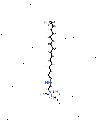 C[N+](C)(C)CCNCCCCCCCCCCCCCCC[SiH3]